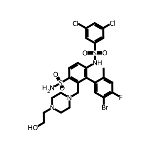 Cc1cc(F)c(Br)cc1-c1c(NS(=O)(=O)c2cc(Cl)cc(Cl)c2)ccc(S(N)(=O)=O)c1CN1CCN(CCO)CC1